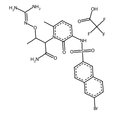 Cc1ccc(NS(=O)(=O)c2ccc3cc(Br)ccc3c2)c(=O)n1C(C(N)=O)C(C)ON=C(N)N.O=C(O)C(F)(F)F